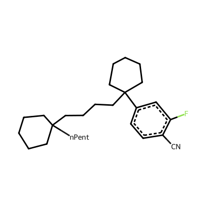 CCCCCC1(CCCCC2(c3ccc(C#N)c(F)c3)CCCCC2)CCCCC1